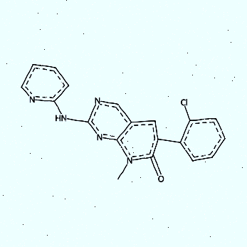 Cn1c(=O)c(-c2ccccc2Cl)cc2cnc(Nc3ccccn3)nc21